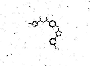 C[C@H](NC(=O)c1cnn(C)c1)c1ccc(OC2CCN(c3cccc(C(F)(F)F)n3)C2)cc1